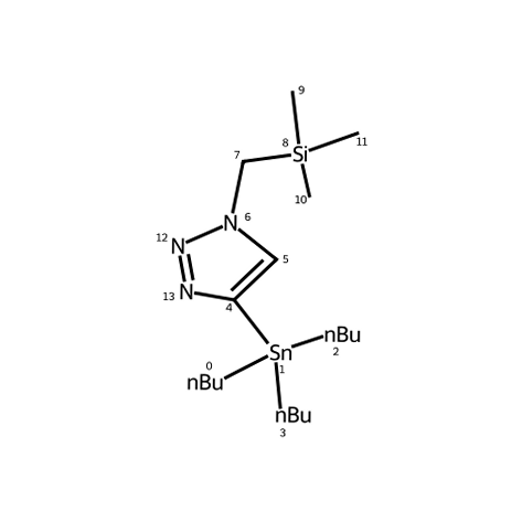 CCC[CH2][Sn]([CH2]CCC)([CH2]CCC)[c]1cn(C[Si](C)(C)C)nn1